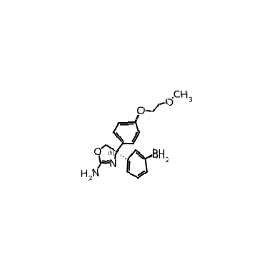 Bc1cccc([C@@]2(c3ccc(OCCOC)cc3)COC(N)=N2)c1